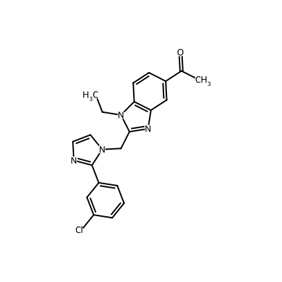 CCn1c(Cn2ccnc2-c2cccc(Cl)c2)nc2cc(C(C)=O)ccc21